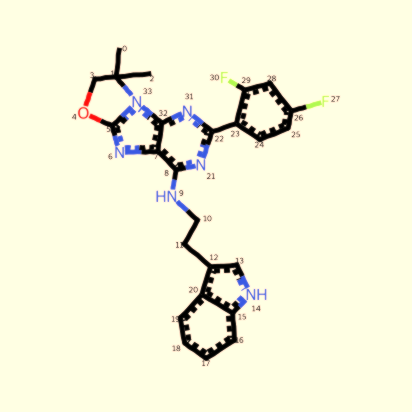 CC1(C)COc2nc3c(NCCc4c[nH]c5ccccc45)nc(-c4ccc(F)cc4F)nc3n21